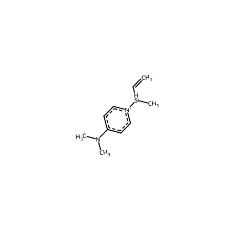 C=C[SiH](C)[n+]1ccc(N(C)C)cc1